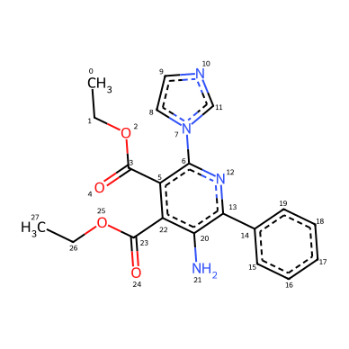 CCOC(=O)c1c(-n2ccnc2)nc(-c2ccccc2)c(N)c1C(=O)OCC